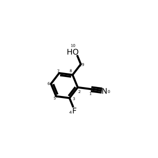 N#Cc1c(F)cccc1[CH]O